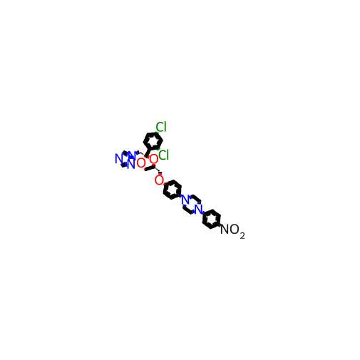 O=[N+]([O-])c1ccc(N2CCN(c3ccc(OC[C@@H]4CO[C@@](Cn5cncn5)(c5ccc(Cl)cc5Cl)O4)cc3)CC2)cc1